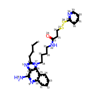 CCCCc1nc2c(N)nc3ccccc3c2n1CCCCNC(=O)CCSSc1ccccn1